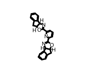 c1cc(C2=N[C@@H]3c4ccccc4C[C@@H]3O2)nc(C2=N[C@@H]3c4ccccc4C[C@@H]3O2)c1